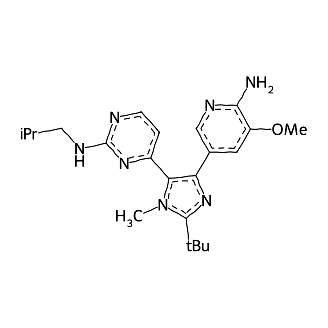 COc1cc(-c2nc(C(C)(C)C)n(C)c2-c2ccnc(NCC(C)C)n2)cnc1N